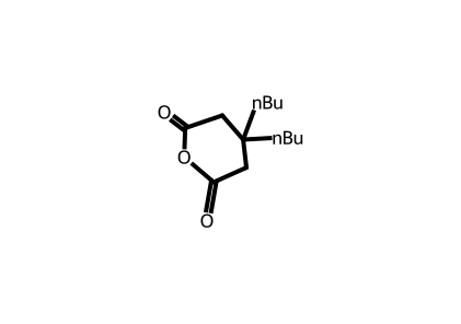 CCCCC1(CCCC)CC(=O)OC(=O)C1